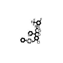 O=C(Cc1c(-c2cccnc2)c2cc(CN3CCN(c4ccccc4)CC3)c(Cl)cc2oc1=O)Nc1ccc(F)cc1C(F)(F)F